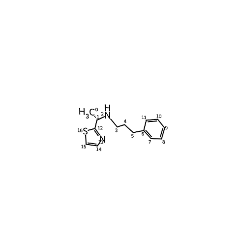 C[C@H](NCCCc1ccccc1)c1nccs1